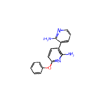 Nc1ncccc1-c1ccc(Oc2ccccc2)nc1N